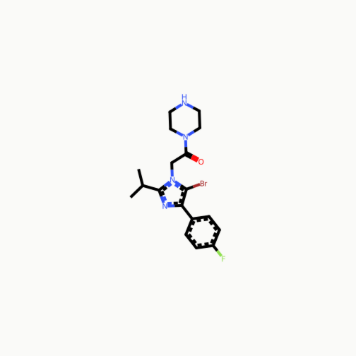 CC(C)c1nc(-c2ccc(F)cc2)c(Br)n1CC(=O)N1CCNCC1